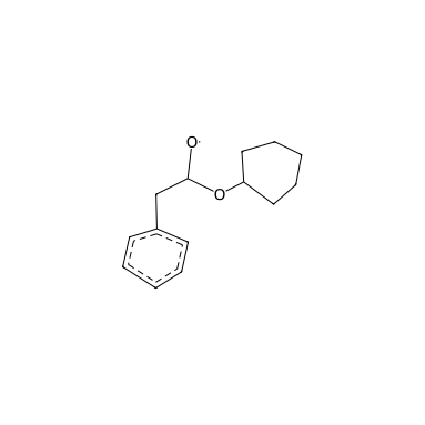 [O]C(Cc1ccccc1)OC1CCCCC1